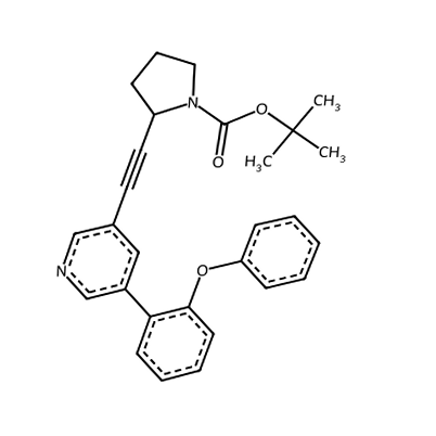 CC(C)(C)OC(=O)N1CCCC1C#Cc1cncc(-c2ccccc2Oc2ccccc2)c1